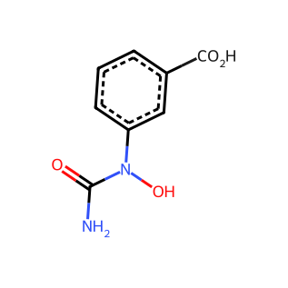 NC(=O)N(O)c1cccc(C(=O)O)c1